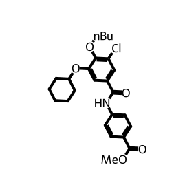 CCCCOc1c(Cl)cc(C(=O)Nc2ccc(C(=O)OC)cc2)cc1OC1CCCCC1